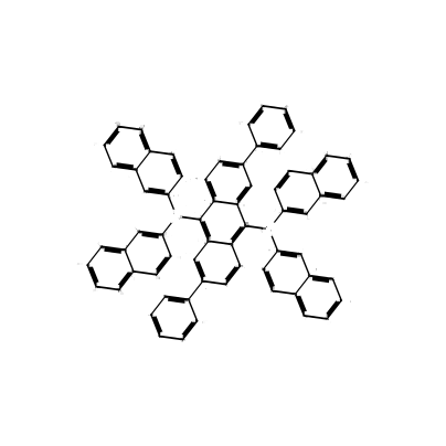 c1ccc(-c2ccc3c(N(c4ccc5ccccc5c4)c4ccc5ccccc5c4)c4cc(-c5ccccc5)ccc4c(N(c4ccc5ccccc5c4)c4ccc5ccccc5c4)c3c2)cc1